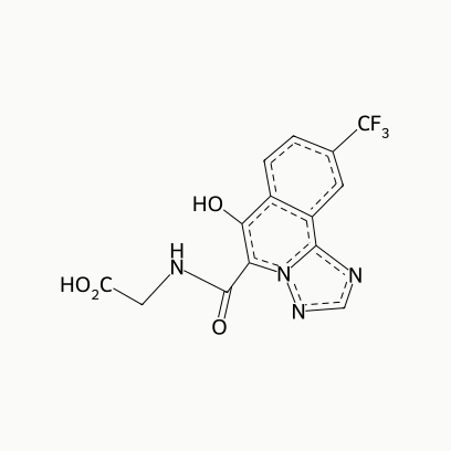 O=C(O)CNC(=O)c1c(O)c2ccc(C(F)(F)F)cc2c2ncnn12